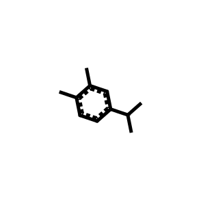 C[C](C)c1ccc(C)c(C)c1